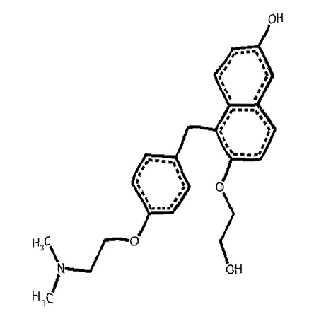 CN(C)CCOc1ccc(Cc2c(OCCO)ccc3cc(O)ccc23)cc1